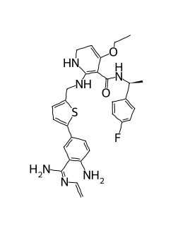 C=C/N=C(/N)c1cc(-c2ccc(CNC3=C(C(=O)N[C@@H](C)c4ccc(F)cc4)C(OCC)=CCN3)s2)ccc1N